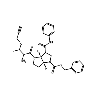 C#CCOC(C)C(N)C(=O)N1CC[C@@H]2[C@H]1[C@@H](C(=O)Nc1ccccc1)CN2C(=O)OCc1ccccc1